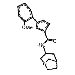 COc1ccccc1-c1ccn(C(=O)NC2CC3CCN(C3)C2)c1